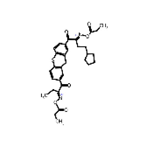 CCC(=O)O/N=C(\CC)C(=O)c1ccc2c(c1)Cc1cc(C(=O)/C(CCC3CCCC3)=N/OC(=O)CC)ccc1S2